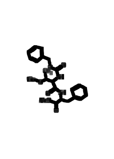 COC(=O)C(Cc1ccccc1)NC(=O)C(NC(=O)OCc1ccccc1)C(C)OC(C)(C)C